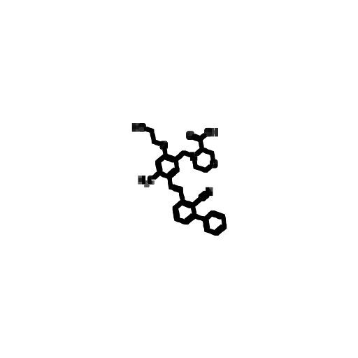 Cc1cc(OCCO)c(CN2CCOCC2C(=O)O)cc1/C=C/c1cccc(-c2ccccc2)c1C#N